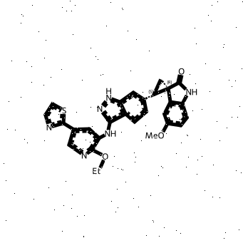 CCOc1ncc(-c2nccs2)cc1Nc1n[nH]c2cc([C@@H]3C[C@@]34C(=O)Nc3ccc(OC)cc34)ccc12